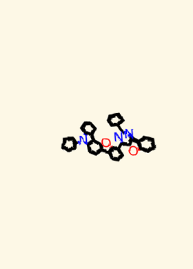 c1ccc(-c2nc(-c3cccc4c3oc3c4ccc4c3c3ccccc3n4-c3ccccc3)c3oc4ccccc4c3n2)cc1